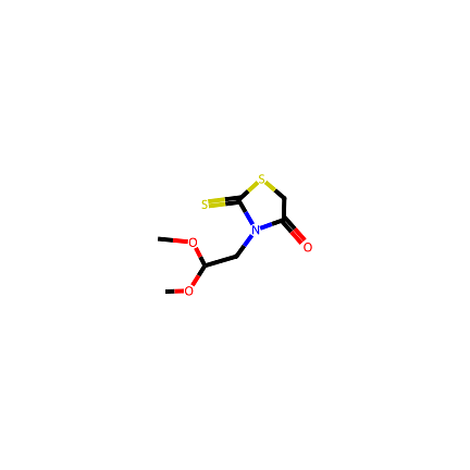 COC(CN1C(=O)CSC1=S)OC